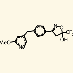 COc1cc(Cc2ccc(C3=NOC(O)(C(F)(F)F)C3)cc2)ccn1